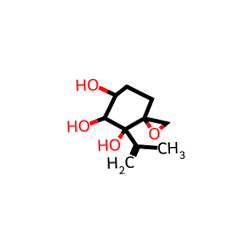 C=C(C)C1(O)C(O)C(O)CCC12CO2